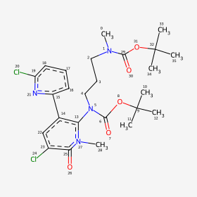 CN(CCCN(C(=O)OC(C)(C)C)c1c(-c2cccc(Cl)n2)cc(Cl)c(=O)n1C)C(=O)OC(C)(C)C